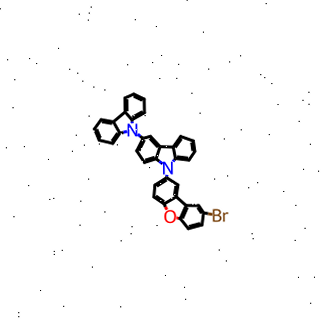 Brc1ccc2oc3ccc(-n4c5ccccc5c5cc(-n6c7ccccc7c7ccccc76)ccc54)cc3c2c1